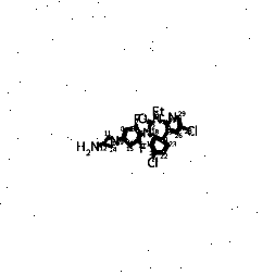 CCN1C(=O)N(c2c(F)cc(N3CC(N)C3)cc2F)c2cc(Cl)ccc2-c2cc(Cl)cnc21